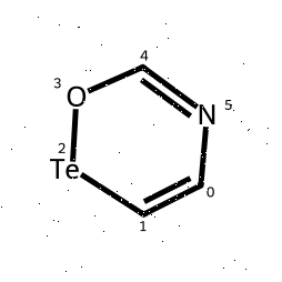 C1=C[Te]OC=N1